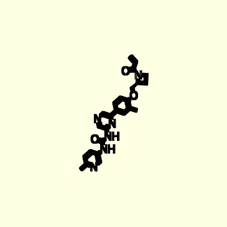 C=CC(=O)N1CC[C@H]1COc1ccc(-c2cncc(NC(=O)Nc3ccc(C)nc3)n2)cc1C